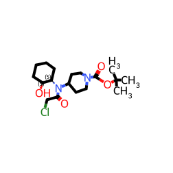 CC(C)(C)OC(=O)N1CCC(N(C(=O)CCl)[C@H]2CCCC[C@@H]2O)CC1